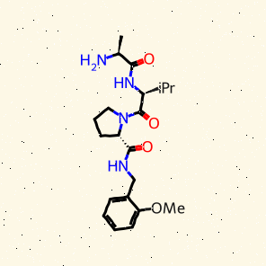 COc1ccccc1CNC(=O)[C@@H]1CCCN1C(=O)[C@@H](NC(=O)[C@H](C)N)C(C)C